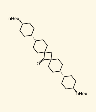 CCCCCC[C@H]1CC[C@H](C2CCC3(CC2)CC2(CCC([C@H]4CC[C@H](CCCCCC)CC4)CC2)C3=O)CC1